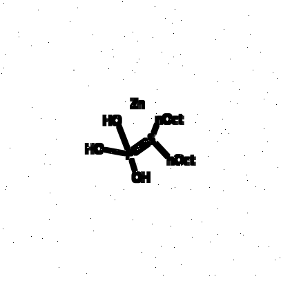 CCCCCCCCS(CCCCCCCC)=P(O)(O)O.[Zn]